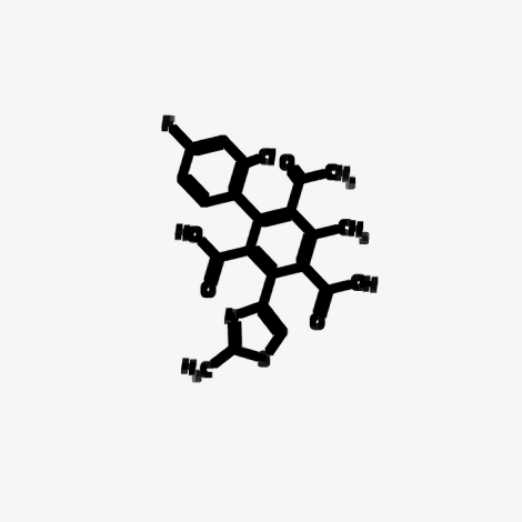 CC(=O)c1c(C)c(C(=O)O)c(-c2csc(C)n2)c(C(=O)O)c1-c1ccc(F)cc1Cl